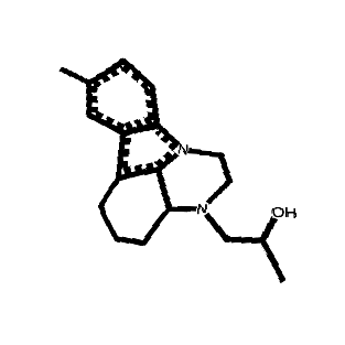 Cc1ccc2c(c1)c1c3n2CCN(CC(C)O)C3CCC1